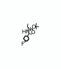 CCN(NC(C)c1ccc(F)cc1)C(=O)OC(C)(C)C